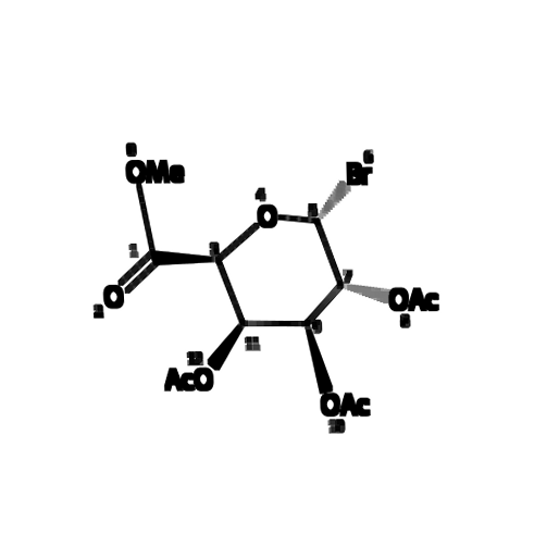 COC(=O)[C@H]1O[C@H](Br)[C@H](OC(C)=O)[C@@H](OC(C)=O)[C@H]1OC(C)=O